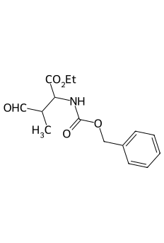 CCOC(=O)C(NC(=O)OCc1ccccc1)C(C)C=O